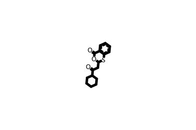 O=C1OC(CC(=O)C2CCCCC2)Sc2ccccc21